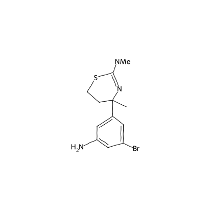 CNC1=NC(C)(c2cc(N)cc(Br)c2)CCS1